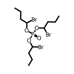 CCCC(Br)OP(=O)(OC(Br)CCC)OC(Br)CCC